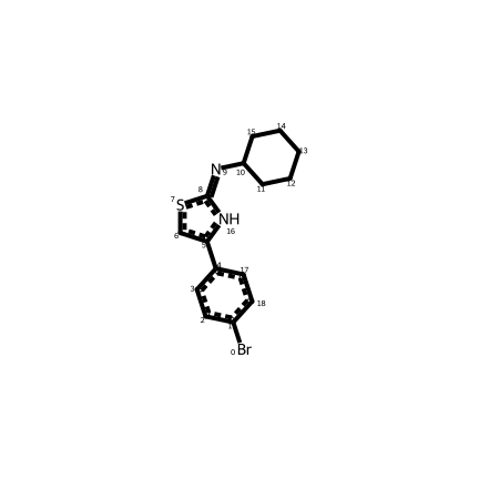 Brc1ccc(-c2csc(=NC3CCCCC3)[nH]2)cc1